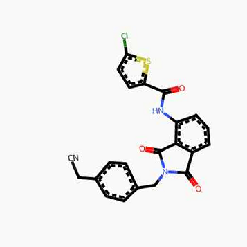 N#CCc1ccc(CN2C(=O)c3cccc(NC(=O)c4ccc(Cl)s4)c3C2=O)cc1